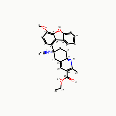 [C-]#[N+]C1(c2ccc(OC)c3oc4ccccc4c23)CCc2nc(C)c(C(=O)OCC)cc2C1